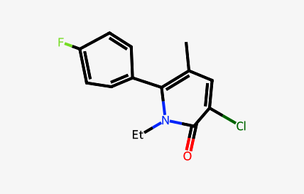 CCn1c(-c2ccc(F)cc2)c(C)cc(Cl)c1=O